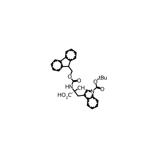 CC(C)(C)OC(=O)n1cc(C[C@](C)(NC(=O)OCC2c3ccccc3-c3ccccc32)C(=O)O)c2ccccc21